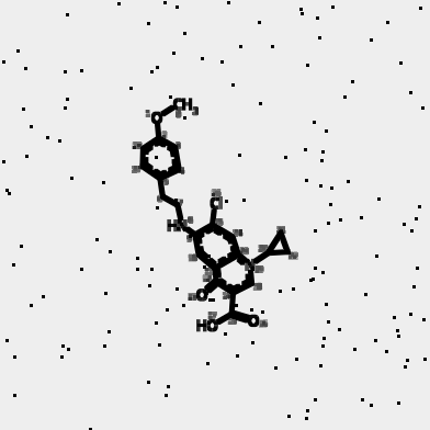 COc1ccc(CCNc2cc3c(=O)c(C(=O)O)cn(C4CC4)c3cc2Cl)cc1